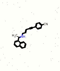 C[C@@H](NC/C=C/C#Cc1ccc(C#N)cc1)c1cccc2ccccc12